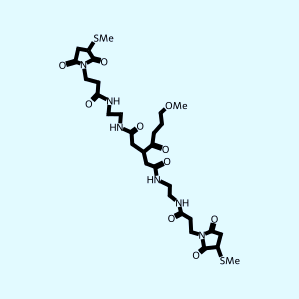 COCCCC(=O)C(CC(=O)NCCNC(=O)CCN1C(=O)CC(SC)C1=O)CC(=O)NCCNC(=O)CCN1C(=O)CC(SC)C1=O